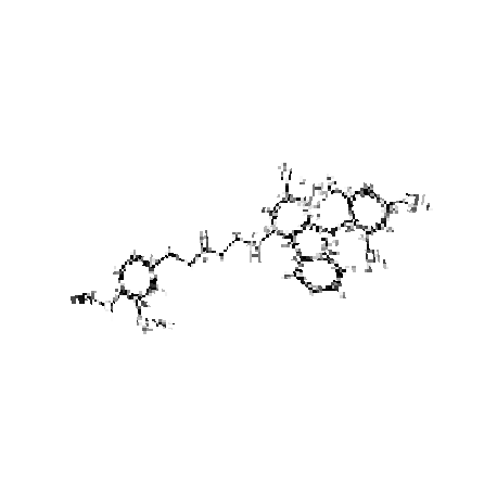 CCCOc1ccc(CCNCCNc2cc(C)nc3c2c2ccccc2n3-c2c(C)cc(C)cc2C)cc1OC